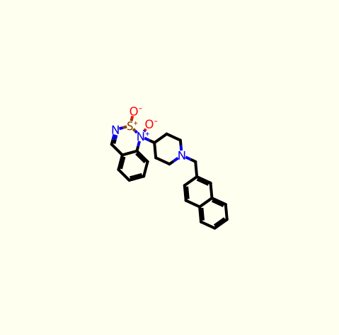 [O-][S+]1N=Cc2ccccc2[N+]1([O-])C1CCN(Cc2ccc3ccccc3c2)CC1